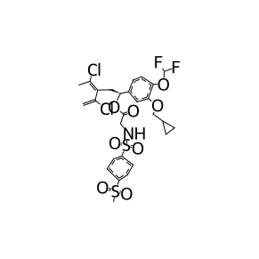 C=C(Cl)/C(C[C@H](OC(=O)CNS(=O)(=O)c1ccc(S(C)(=O)=O)cc1)c1ccc(OC(F)F)c(OCC2CC2)c1)=C(\C)Cl